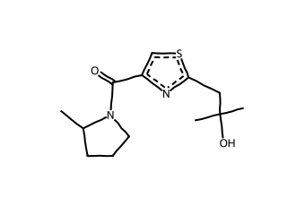 CC1CCCN1C(=O)c1csc(CC(C)(C)O)n1